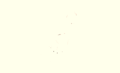 N#CC1(Nc2ccc(-c3ccccc3)cc2)CCC1